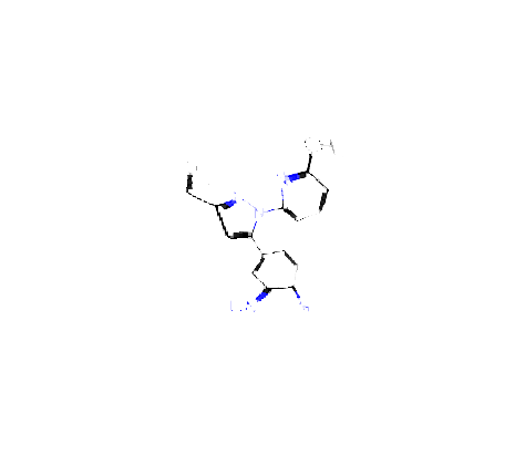 C=Cc1cc(C2=CC(=N)C(=N)C=C2)n(-c2cccc(C)n2)n1